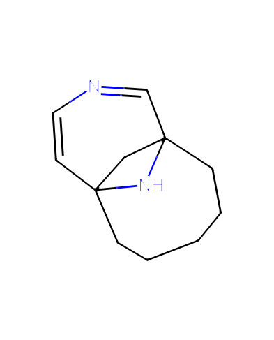 C1=CC23CCCCCC(C=N1)(C2)N3